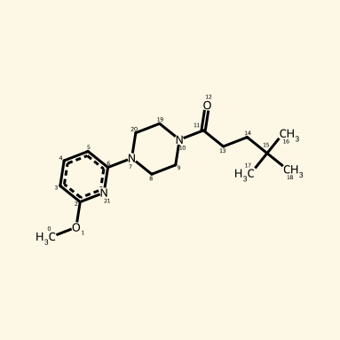 COc1cccc(N2CCN(C(=O)CCC(C)(C)C)CC2)n1